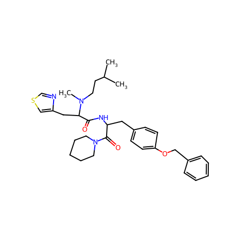 CC(C)CCN(C)C(Cc1cscn1)C(=O)NC(Cc1ccc(OCc2ccccc2)cc1)C(=O)N1CCCCC1